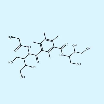 Cc1c(I)c(C(=O)NC(CO)C(O)CO)c(I)c(C(=O)N(NC(=O)CN)C(CO)C(O)CO)c1I